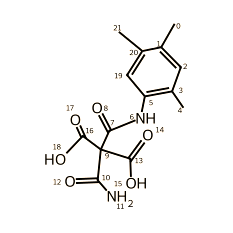 Cc1cc(C)c(NC(=O)C(C(N)=O)(C(=O)O)C(=O)O)cc1C